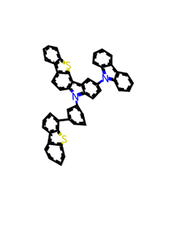 c1cc(-c2cccc3c2sc2ccccc23)cc(-n2c3ccc(-n4c5ccccc5c5ccccc54)cc3c3c4sc5ccccc5c4ccc32)c1